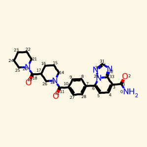 NC(=O)c1ccc(-c2ccc(C(=O)N3CCCC(C(=O)N4CCCCC4)C3)cc2)n2n[c]nc12